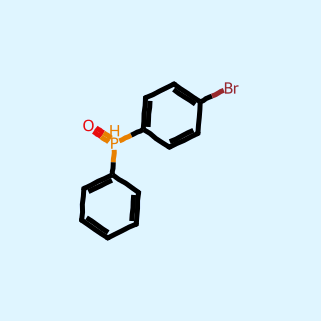 O=[PH](c1ccccc1)c1ccc(Br)cc1